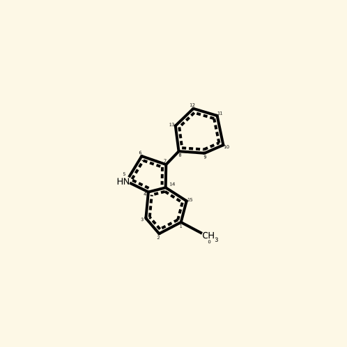 Cc1ccc2[nH]cc(-c3ccccc3)c2c1